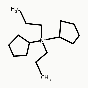 CCC[N+](CCC)(C1CCCC1)C1CCCC1